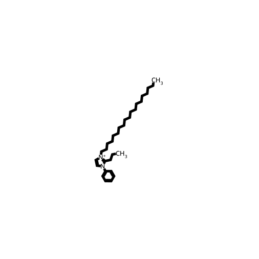 CCCCCCCCCCCCCCCCCCC[n+]1ccn(-c2ccccc2)c1CCC